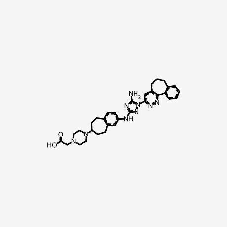 Nc1nc(Nc2ccc3c(c2)CCC(N2CCN(CC(=O)O)CC2)CC3)nn1-c1cc2c(nn1)-c1ccccc1CCC2